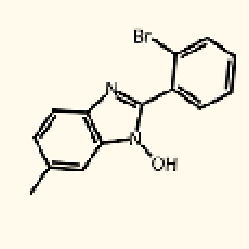 Cc1ccc2nc(-c3ccccc3Br)n(O)c2c1